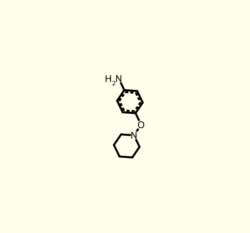 Nc1ccc(ON2CCCCC2)cc1